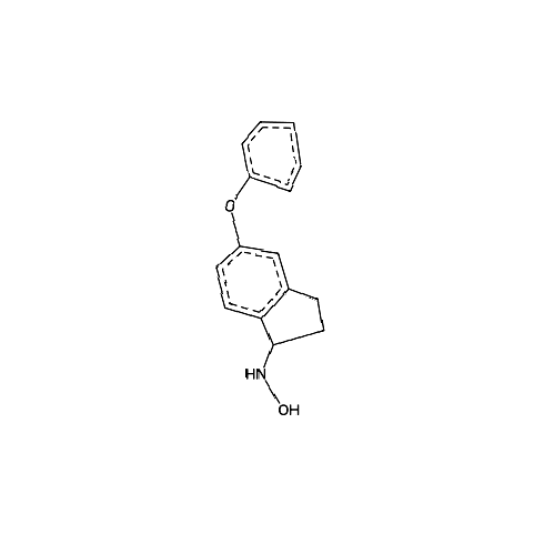 ONC1CCc2cc(Oc3ccccc3)ccc21